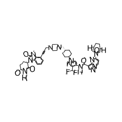 Cn1c(=O)n(C2CCC(=O)NC2=O)c2cccc(C#CCN3CCN(C[C@H]4CC[C@H](n5cc(NC(=O)c6cnn7ccc(N8C[C@H]9CC[C@@H](C8)O9)nc67)c(C(F)F)n5)CC4)CC3)c21